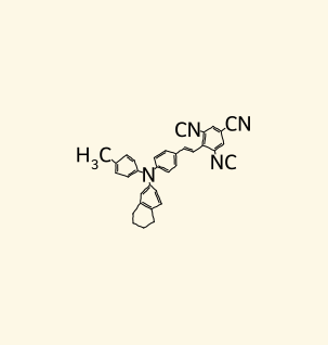 [C-]#[N+]c1cc(C#N)cc([N+]#[C-])c1C=Cc1ccc(N(c2ccc(C)cc2)c2ccc3c(c2)CCCC3)cc1